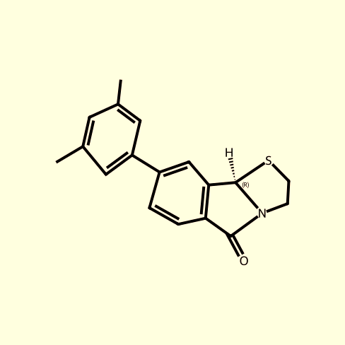 Cc1cc(C)cc(-c2ccc3c(c2)[C@H]2SCCN2C3=O)c1